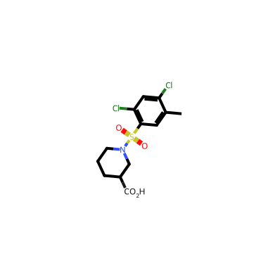 Cc1cc(S(=O)(=O)N2CCCC(C(=O)O)C2)c(Cl)cc1Cl